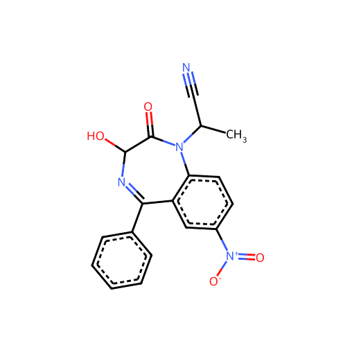 CC(C#N)N1C(=O)C(O)N=C(c2ccccc2)c2cc([N+](=O)[O-])ccc21